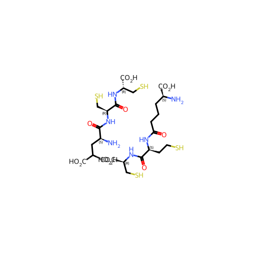 N[C@@H](CC(C(=O)O)C(=O)O)C(=O)N[C@@H](CS)C(=O)N[C@@H](CS)C(=O)O.N[C@@H](CCCC(=O)N[C@@H](CCS)C(=O)N[C@@H](CS)C(=O)O)C(=O)O